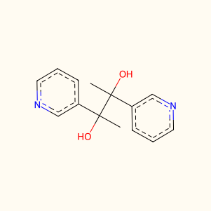 CC(O)(c1cccnc1)C(C)(O)c1cccnc1